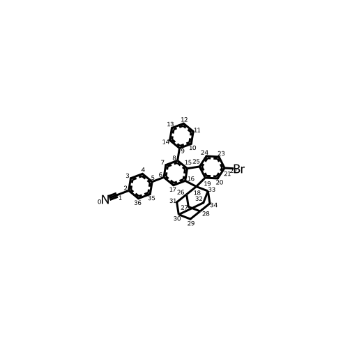 N#Cc1ccc(-c2cc(-c3ccccc3)c3c(c2)C2(c4cc(Br)ccc4-3)C3CC4CC(C3)CC2C4)cc1